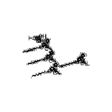 CCCCCCCCCCCCOc1ccc(-c2ccccc2)c(OC(=O)CCC)c1.CCCCCCCCCCCCOc1ccc(-c2ccccc2)c(OC(=O)CCC)c1.CCCCCCCCCCCCOc1ccc(-c2ccccc2)c(OC(=O)CCC)c1.CCCCCCCCCCCCOc1ccc(-c2ccccc2)c(OC(=O)CCC)c1.OCC(CO)(CO)CO